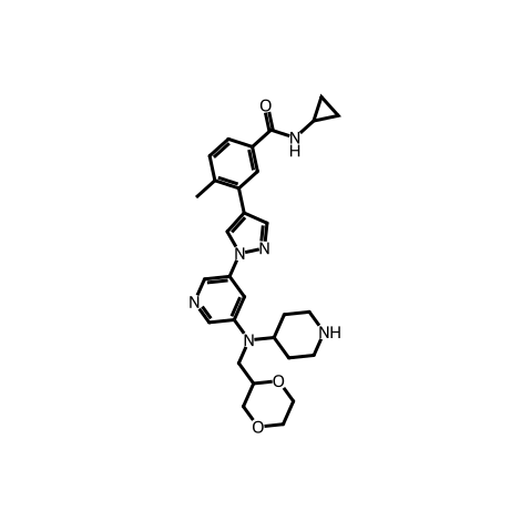 Cc1ccc(C(=O)NC2CC2)cc1-c1cnn(-c2cncc(N(CC3COCCO3)C3CCNCC3)c2)c1